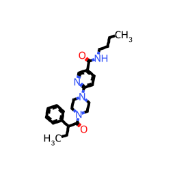 CCCCNC(=O)c1ccc(N2CCN(C(=O)C(CC)c3ccccc3)CC2)nc1